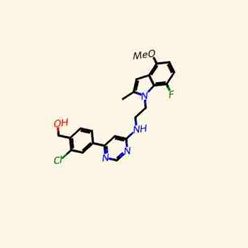 COc1ccc(F)c2c1cc(C)n2CCNc1cc(-c2ccc(CO)c(Cl)c2)ncn1